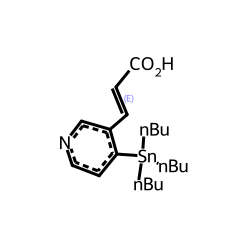 CCC[CH2][Sn]([CH2]CCC)([CH2]CCC)[c]1ccncc1/C=C/C(=O)O